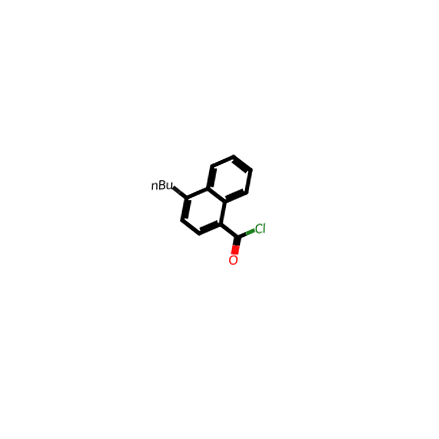 CCCCc1ccc(C(=O)Cl)c2ccccc12